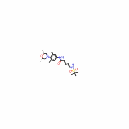 Cc1cc(NC(=O)CCCCNS(=O)(=O)C(C)(C)C)cc(C)c1N1C[C@@H](C)O[C@@H](C)C1